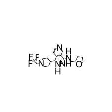 FC(F)(F)CN1CCC(C2NNC(NC[C@H]3CCCO3)c3cnccc32)CC1